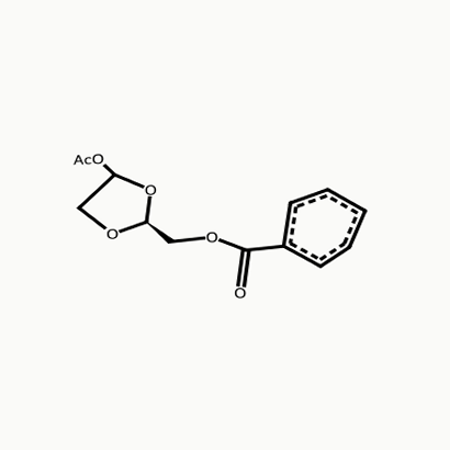 CC(=O)OC1CO[C@H](COC(=O)c2ccccc2)O1